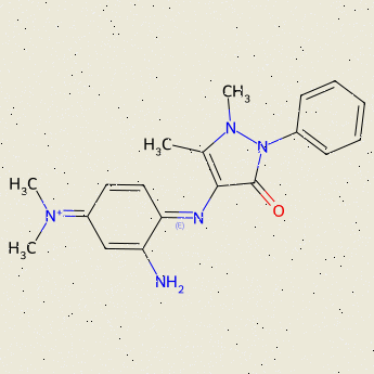 Cc1c(/N=C2\C=CC(=[N+](C)C)C=C2N)c(=O)n(-c2ccccc2)n1C